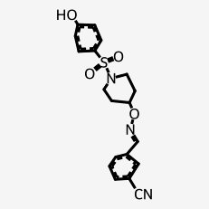 N#Cc1cccc(/C=N/OC2CCN(S(=O)(=O)c3ccc(O)cc3)CC2)c1